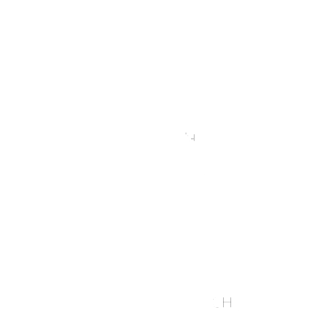 Cc1ccc([Si]2(c3ccccc3)c3ccccc3-c3c2c2ccccc2c2ccccc32)cc1